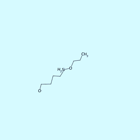 CCCO[SiH2]CCCC[O]